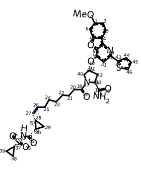 COc1ccc2c(c1)oc1c(O[C@@H]3C[C@@H](C(N)=O)N(C(=O)CCCCCC/C=C\[C@@H]4C[C@@H]4C(=O)NS(=O)(=O)C4CC4)C3)cc(-c3cccs3)nc12